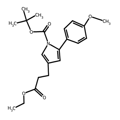 CCOC(=O)CCc1cc(-c2ccc(OC)cc2)n(C(=O)OC(C)(C)C)c1